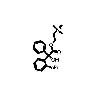 CCCc1ccccc1C(O)(C(=O)OCC[N+](C)(C)C)c1ccccc1